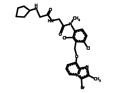 Cc1nc2c(OCc3c(Cl)ccc(N(C)C(=O)CNC(=O)CNC4CCCC4)c3Cl)cccn2c1Br